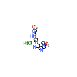 Cl.Cl.Cn1c(=O)ccc2ncc(C#N)c(CCN3CCC(NCc4cc5c(cn4)OCS5)CC3)c21